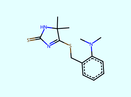 CN(C)c1ccccc1CSC1=NC(=S)NC1(C)C